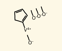 C[O-].C[O-].C[O-].C[O-].[V+4][C]1=CC=CC1